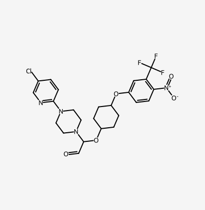 O=CC(OC1CCC(Oc2ccc([N+](=O)[O-])c(C(F)(F)F)c2)CC1)N1CCN(c2ccc(Cl)cn2)CC1